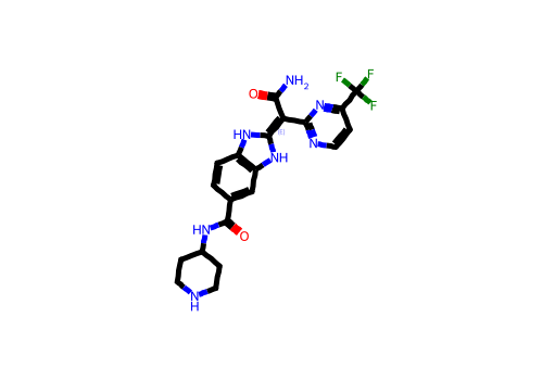 NC(=O)/C(=C1\Nc2ccc(C(=O)NC3CCNCC3)cc2N1)c1nccc(C(F)(F)F)n1